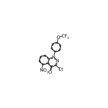 CCc1nn(-c2ccc(OC(F)(F)F)cc2)c2cccc([N+](=O)[O-])c2c1=O